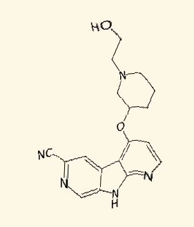 N#Cc1cc2c(cn1)[nH]c1nccc(OC3CCCN(CCO)C3)c12